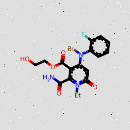 CCn1c(C(N)=O)c(C(=O)OCCO)c(N(Br)c2ccccc2F)cc1=O